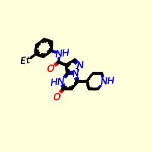 CCc1cccc(NC(=O)c2cnn3c(C4CCNCC4)cc(=O)[nH]c23)c1